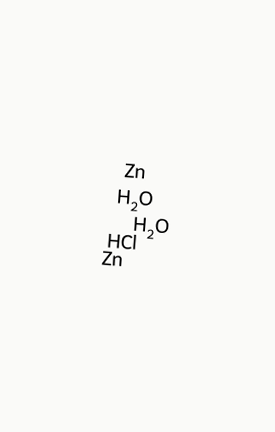 Cl.O.O.[Zn].[Zn]